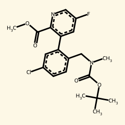 COC(=O)c1ncc(F)cc1-c1cc(Cl)ccc1CN(C)C(=O)OC(C)(C)C